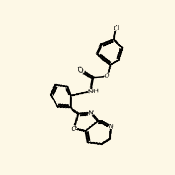 O=C(Nc1ccccc1-c1nc2c(o1)=CCCN=2)Oc1ccc(Cl)cc1